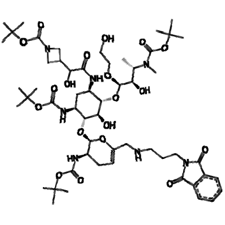 C[C@@H]([C@@H](O)[C@H](OCCO)O[C@@H]1[C@@H](O)[C@H](O[C@H]2OC(CNCCCN3C(=O)c4ccccc4C3=O)=CC[C@H]2NC(=O)OC(C)(C)C)[C@@H](NC(=O)OC(C)(C)C)C[C@H]1NC(=O)C(O)C1CN(C(=O)OC(C)(C)C)C1)N(C)C(=O)OC(C)(C)C